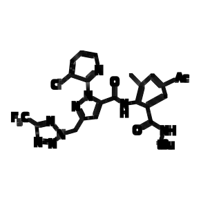 CC(=O)c1cc(C)c(NC(=O)c2cc(Cn3nnc(C(F)(F)F)n3)nn2-c2ncccc2Cl)c(C(=O)NC(C)(C)C)c1